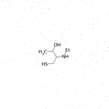 CCNC(CS)C(C)O